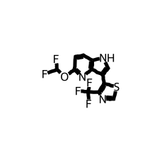 FC(F)Oc1ccc2[nH]cc(-c3scnc3C(F)(F)F)c2n1